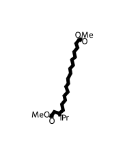 COC(=O)CCCCCCCCCCCCCCCCC(CC(=O)OC)C(C)C